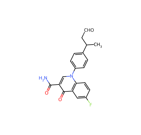 CC(CC=O)c1ccc(-n2cc(C(N)=O)c(=O)c3cc(F)ccc32)cc1